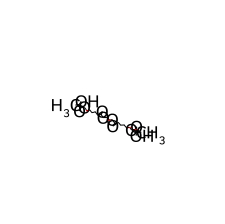 CC(O)C(=O)OCCCCCC(=O)OCCOC(=O)CCCCCOC(=O)C(C)O